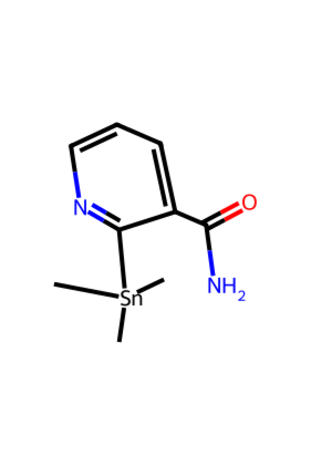 [CH3][Sn]([CH3])([CH3])[c]1ncccc1C(N)=O